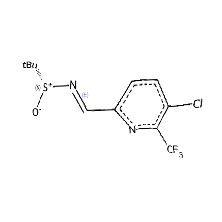 CC(C)(C)[S@@+]([O-])/N=C/c1ccc(Cl)c(C(F)(F)F)n1